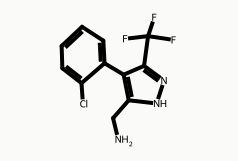 NCc1[nH]nc(C(F)(F)F)c1-c1ccccc1Cl